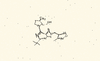 Cc1nonc1Cn1nc2nc(C(C)(C)C)nc(N3CCC(O)[C@@H]3CO)c2n1